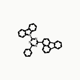 c1ccc(-c2nc(-c3ccc4c5c(cccc35)-c3ccccc3-4)nc(-n3c4ccccc4c4ccccc43)n2)cc1